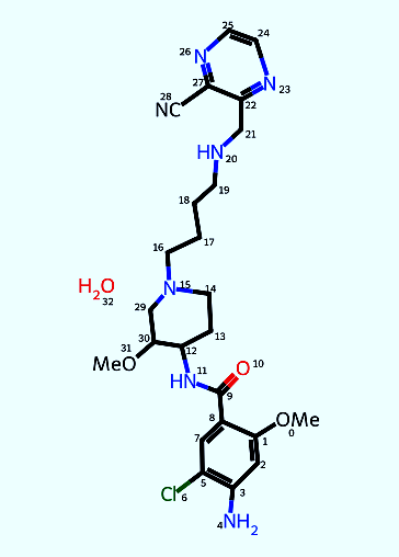 COc1cc(N)c(Cl)cc1C(=O)NC1CCN(CCCCNCc2nccnc2C#N)CC1OC.O